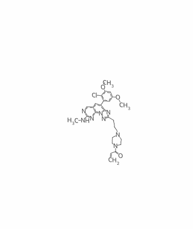 C=CC(=O)N1CCN(CCCc2nc3c(-c4cc(OC)cc(OC)c4Cl)cc4cnc(NC)nc4n3n2)CC1